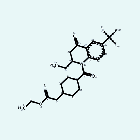 CCOC(=O)CC1CCC(C(=O)N2c3ccc(C(F)(F)F)cc3C(=O)CC2CC)CC1